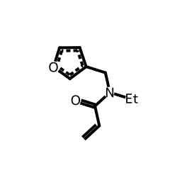 C=CC(=O)N(CC)Cc1ccoc1